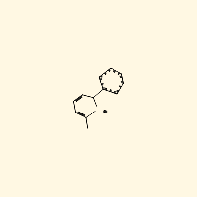 CC1=CC=CC(c2ccccc2)[Te]1=O